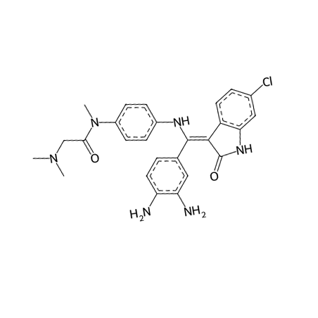 CN(C)CC(=O)N(C)c1ccc(NC(=C2C(=O)Nc3cc(Cl)ccc32)c2ccc(N)c(N)c2)cc1